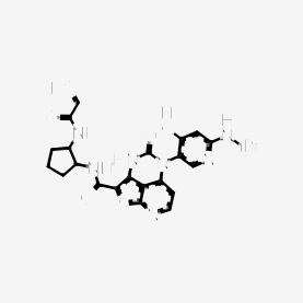 C=CC(=O)NC1CCCC1NC(=O)c1sc2nccc3c2c1NC(=O)N3c1cnc(NC(C)C)cc1C